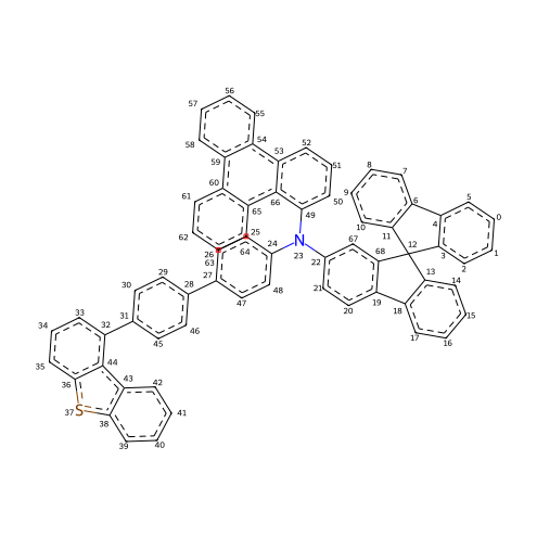 c1ccc2c(c1)-c1ccccc1C21c2ccccc2-c2ccc(N(c3ccc(-c4ccc(-c5cccc6sc7ccccc7c56)cc4)cc3)c3cccc4c5ccccc5c5ccccc5c34)cc21